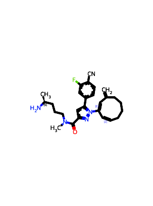 C=C1/C=C(n2nc(C(=O)N(C)CCC[C@H](C)N)cc2-c2ccc(C#N)c(F)c2)\C=C/CCCC1